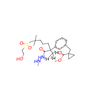 [2H]C([2H])([2H])C(CCCC(C)(C)CS(=O)(=O)CCO)(C(=O)NNC)c1cccc(CC2(C(=O)OC)CC2)c1